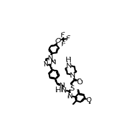 COc1cc(C)c(/N=C(/N/N=C/c2ccc(-c3ncn(-c4ccc(OC(F)(F)F)cc4)n3)cc2)SCC(=O)N2CCNCC2)c(C)c1